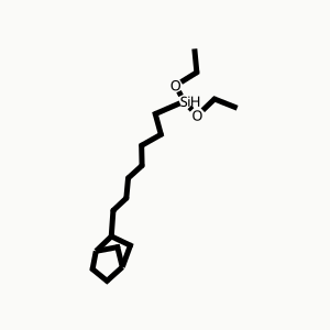 CCO[SiH](CCCCCCCC1CC2CCC1C2)OCC